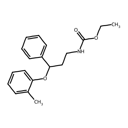 CCOC(=O)NCCC(Oc1ccccc1C)c1ccccc1